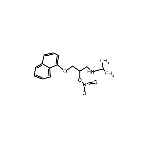 CC(C)NCC(COc1cccc2ccccc12)O[N+](=O)[O-]